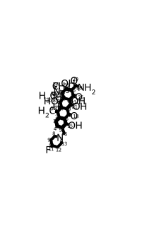 C=C1c2ccc(CN3CCC(F)CC3)c(O)c2C(=O)C2=C(O)[C@]3(O)C(=O)C(C(N)=O)=C(O)[C@@H](N(C)C)[C@@H]3[C@@H](O)[C@H]12